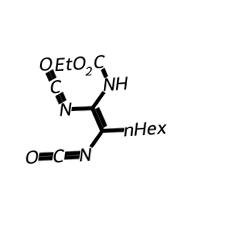 CCCCCCC(N=C=O)=C(N=C=O)NC(=O)OCC